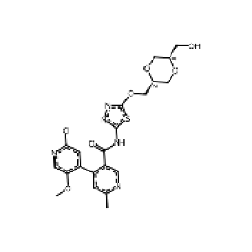 COc1cnc(Cl)cc1-c1cc(C)ncc1C(=O)Nc1nnc(OC[C@@H]2CO[C@H](CO)CO2)s1